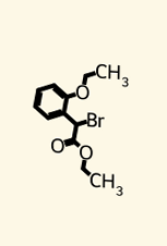 CCOC(=O)C(Br)c1ccccc1OCC